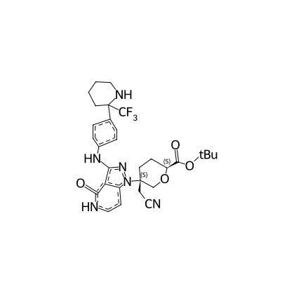 CC(C)(C)OC(=O)[C@@H]1CC[C@@](CC#N)(n2nc(Nc3ccc(C4(C(F)(F)F)CCCCN4)cc3)c3c(=O)[nH]ccc32)CO1